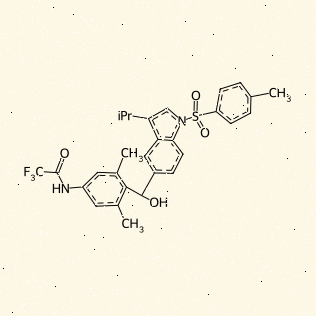 Cc1ccc(S(=O)(=O)n2cc(C(C)C)c3cc(C(O)c4c(C)cc(NC(=O)C(F)(F)F)cc4C)ccc32)cc1